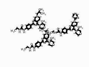 CCNC(=O)Nc1ccc(-c2nc3c(c(N4CCOC[C@@H]4C)n2)CCN(C(C)C)C3)cc1.CCNC(=O)Nc1ccc(-c2nc3c(c(N4CCOC[C@@H]4C)n2)CCN(CC(C)C)C3)cc1.CCNC(=O)Nc1ccc(-c2nc3c(c(N4CCOC[C@@H]4C)n2)CCN(c2ncncn2)C3)cc1